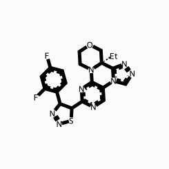 CC[C@@]12COCCN1c1nc(C3SN=NC3c3ccc(F)cc3F)ncc1-n1cnnc12